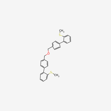 CSc1ccccc1-c1ccc(COCc2ccc(-c3ccccc3SC)cc2)cc1